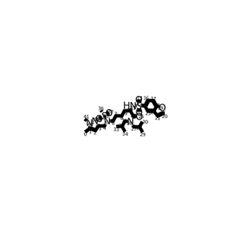 Cc1cc(CN(CCCCC(NS(=O)(=O)c2ccc3occc3c2)C(=O)N(CC(C)C)CC(C)C)S(C)(=O)=O)nn1C